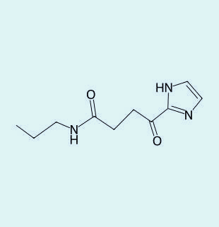 CCCNC(=O)CCC(=O)c1ncc[nH]1